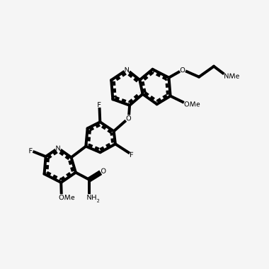 CNCCOc1cc2nccc(Oc3c(F)cc(-c4nc(F)cc(OC)c4C(N)=O)cc3F)c2cc1OC